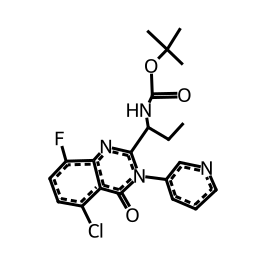 CCC(NC(=O)OC(C)(C)C)c1nc2c(F)ccc(Cl)c2c(=O)n1-c1cccnc1